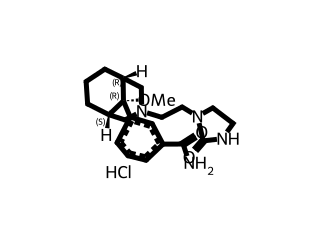 CO[C@@]1(c2cccc(C(N)=O)c2)[C@@H]2CCC[C@H]1CN(CCN1CCNC1=O)C2.Cl